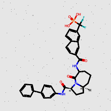 O=C(NC1CCC[C@H]2CC[C@@H](C(=O)Nc3ccc(-c4ccccc4)cc3)N2C1=O)c1ccc2ccc(C(F)(F)P(=O)(O)O)cc2c1